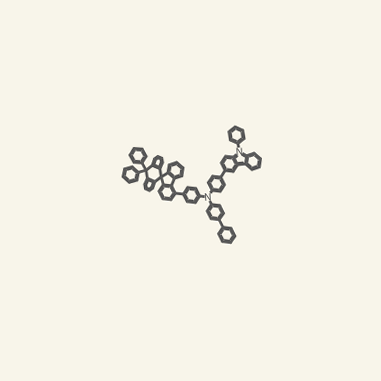 c1ccc(-c2ccc(N(c3ccc(-c4ccc5c(c4)c4ccccc4n5-c4ccccc4)cc3)c3ccc(-c4cccc5c4-c4ccccc4C54c5ccccc5C(c5ccccc5)(c5ccccc5)c5ccccc54)cc3)cc2)cc1